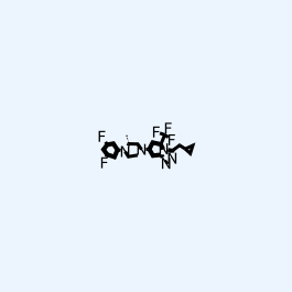 C[C@@H]1CN(c2cc(C(F)(F)F)n3c(CC4CC4)nnc3c2)CCN1c1cc(F)cc(F)c1